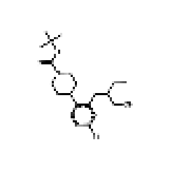 CCC(CO)Cc1cc(Cl)ccc1C1CCN(C(=O)OC(C)(C)C)CC1